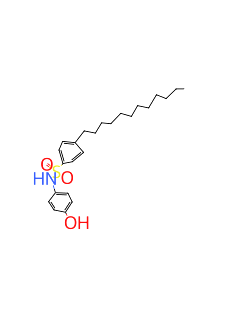 CCCCCCCCCCCCc1ccc(S(=O)(=O)Nc2ccc(O)cc2)cc1